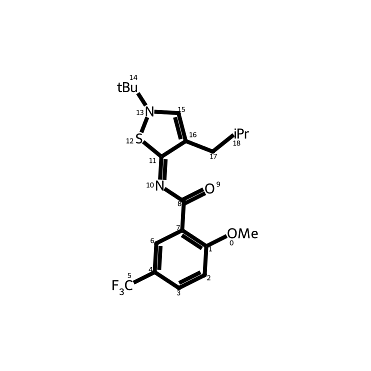 COc1ccc(C(F)(F)F)cc1C(=O)N=c1sn(C(C)(C)C)cc1CC(C)C